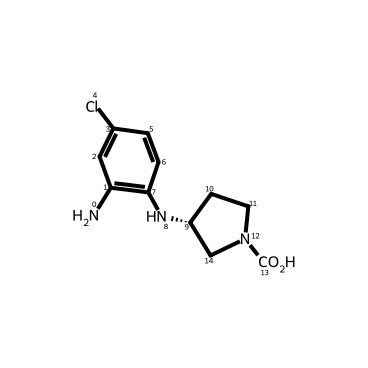 Nc1cc(Cl)ccc1N[C@@H]1CCN(C(=O)O)C1